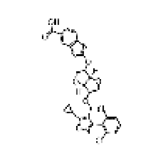 O=C(O)c1ccc2nc(OC3CO[C@@H]4C(OCc5c(-c6c(Cl)cccc6Cl)noc5C5CC5)CO[C@H]34)sc2c1